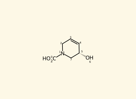 O=C(O)N1CC=C[C@H](O)C1